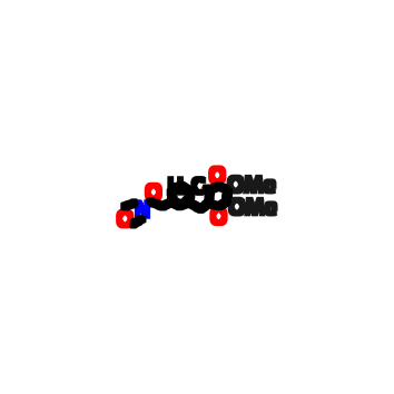 COC1=C(OC)C(=O)C(Cc2cccc(CC(=O)N3CCOCC3)c2)=C(C)C1=O